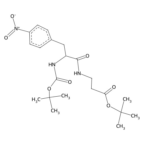 CC(C)(C)OC(=O)CCNC(=O)C(Cc1ccc([N+](=O)[O-])cc1)NC(=O)OC(C)(C)C